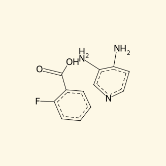 Nc1ccncc1N.O=C(O)c1ccccc1F